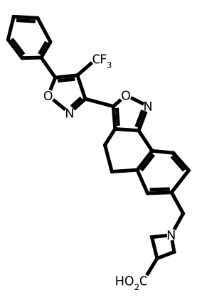 O=C(O)C1CN(Cc2ccc3c(c2)CCc2c-3noc2-c2noc(-c3ccccc3)c2C(F)(F)F)C1